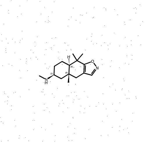 CN[C@H]1CC[C@H]2C(C)(C)c3oncc3C[C@]2(C)C1